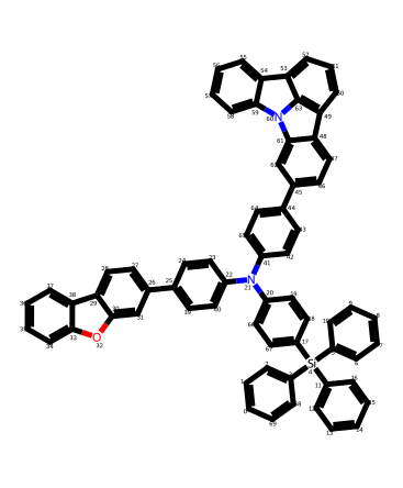 c1ccc([Si](c2ccccc2)(c2ccccc2)c2ccc(N(c3ccc(-c4ccc5c(c4)oc4ccccc45)cc3)c3ccc(-c4ccc5c6cccc7c8ccccc8n(c5c4)c76)cc3)cc2)cc1